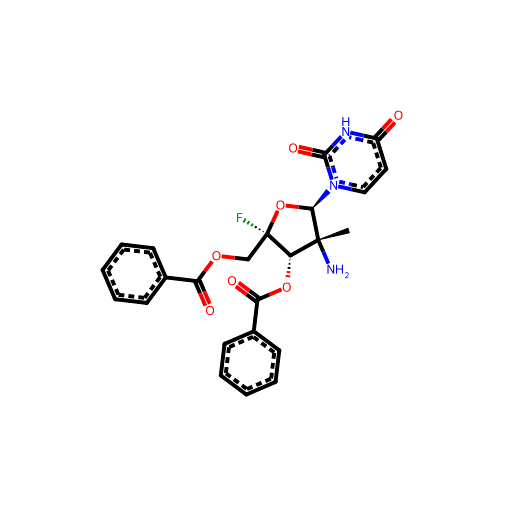 C[C@]1(N)[C@H](n2ccc(=O)[nH]c2=O)O[C@](F)(COC(=O)c2ccccc2)[C@H]1OC(=O)c1ccccc1